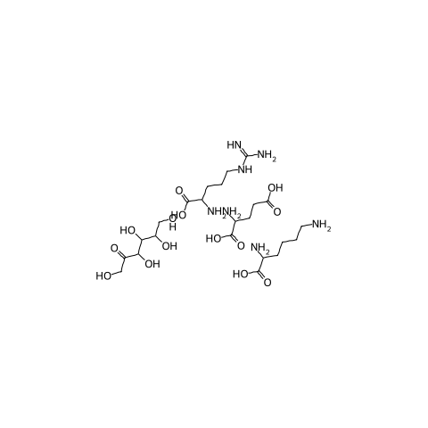 N=C(N)NCCCC(N)C(=O)O.NC(CCC(=O)O)C(=O)O.NCCCCC(N)C(=O)O.O=C(CO)C(O)C(O)C(O)CO